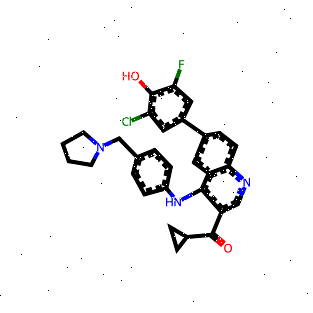 O=C(c1cnc2ccc(-c3cc(F)c(O)c(Cl)c3)cc2c1Nc1ccc(CN2CCCC2)cc1)C1CC1